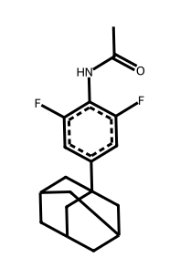 CC(=O)Nc1c(F)cc(C23CC4CC(CC(C4)C2)C3)cc1F